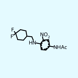 CC(=O)Nc1ccc(NCC2CCC(F)(F)CC2)c([N+](=O)[O-])c1